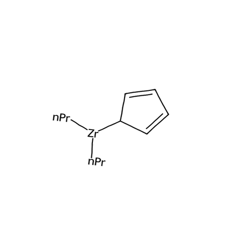 CC[CH2][Zr]([CH2]CC)[CH]1C=CC=C1